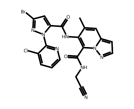 Cc1cc2ccnn2c(C(=O)NCC#N)c1NC(=O)c1cc(Br)nn1-c1ncccc1Cl